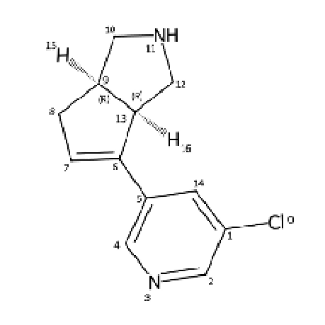 Clc1cncc(C2=CC[C@H]3CNC[C@@H]23)c1